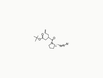 C=CCC(CC(=O)OC(C)(C)C)C(=O)N1CCC[C@H]1CN=[N+]=[N-]